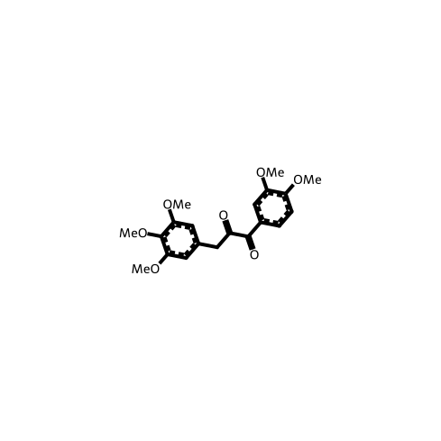 COc1ccc(C(=O)C(=O)Cc2cc(OC)c(OC)c(OC)c2)cc1OC